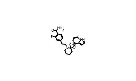 CC1(Oc2nccn3nccc23)CCCCN1CCc1ccc(C(N)=O)c(F)c1